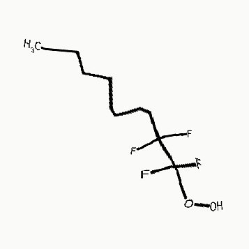 CCCCCCC(F)(F)C(F)(F)OO